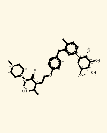 CS[C@H]1O[C@@H](c2ccc(C)c(Cc3ccc(OCCC(C(=O)N(C)N4CCN(C)CC4)C(C)C=O)cc3)c2)[C@H](O)[C@@H](O)[C@@H]1O